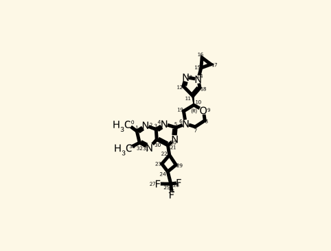 Cc1nc2nc(N3CCO[C@H](c4cnn(C5CC5)c4)C3)nc(C3CC(C(F)(F)F)C3)c2nc1C